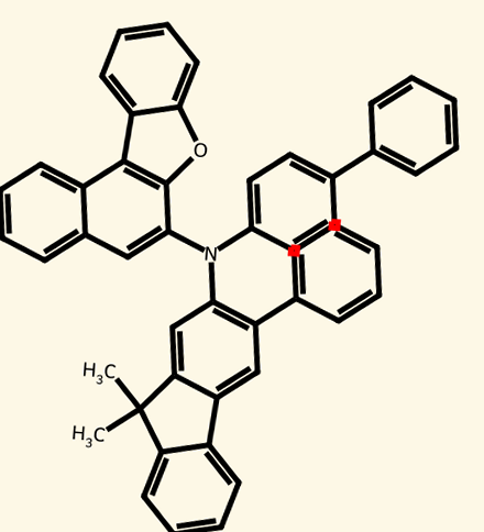 CC1(C)c2ccccc2-c2cc(-c3ccccc3)c(N(c3ccc(-c4ccccc4)cc3)c3cc4ccccc4c4c3oc3ccccc34)cc21